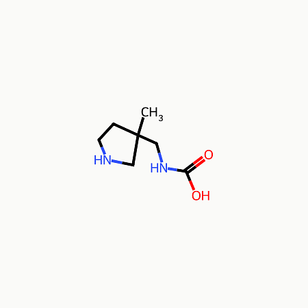 CC1(CNC(=O)O)CCNC1